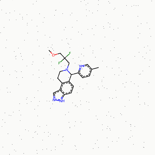 COCC(F)(F)CN1CCc2c(ccc3[nH]ncc23)C1c1ccc(C)cn1